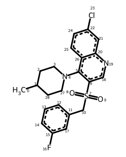 CC1CCN(c2c(S(=O)(=O)Cc3cccc(F)c3)cnc3cc(Cl)ccc23)CC1